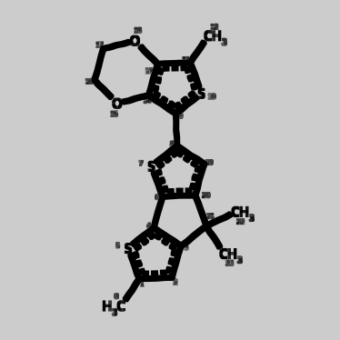 Cc1cc2c(s1)-c1sc(-c3sc(C)c4c3OCCO4)cc1C2(C)C